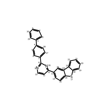 c1ccc(-c2ccc(-c3nccc(-c4ccc5sc6ccccc6c5c4)n3)cc2)cc1